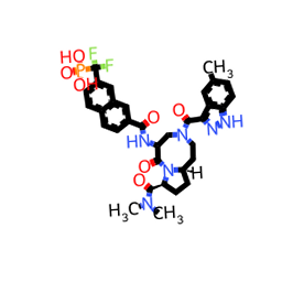 Cc1ccc2[nH]nc(C(=O)N3CC[C@H]4CC[C@@H](C(=O)N(C)C)N4C(=O)C(NC(=O)c4ccc5ccc(C(F)(F)P(=O)(O)O)cc5c4)C3)c2c1